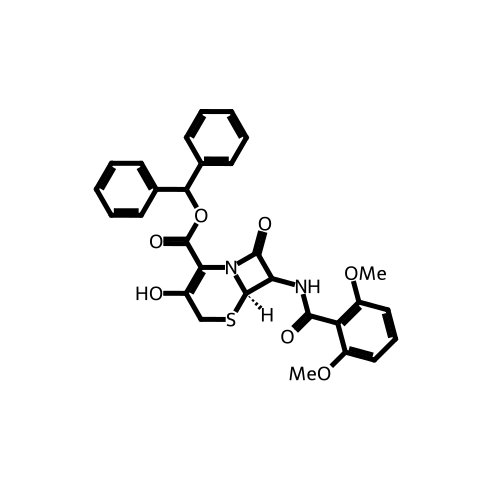 COc1cccc(OC)c1C(=O)NC1C(=O)N2C(C(=O)OC(c3ccccc3)c3ccccc3)=C(O)CS[C@H]12